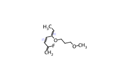 C=C(F)/C=C\C(=C/C)OCCCOC